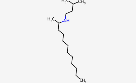 CCCCCCCCCCC(C)NCCC(C)C